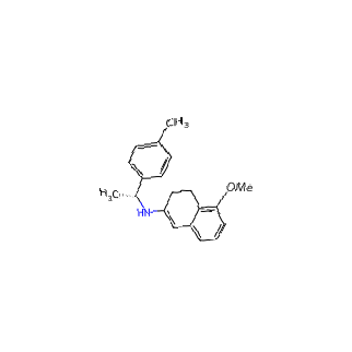 COc1cccc2c1CCC(N[C@H](C)c1ccc(C)cc1)=C2